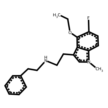 CCOc1c(F)ccc2c1c(CCNCCc1ccccc1)cn2C